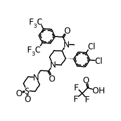 CN(C(=O)c1cc(C(F)(F)F)cc(C(F)(F)F)c1)[C@@H]1CCN(C(=O)CN2CCS(=O)(=O)CC2)C[C@H]1c1ccc(Cl)c(Cl)c1.O=C(O)C(F)(F)F